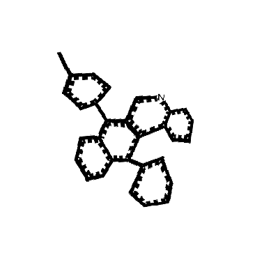 Cc1ccc(-c2c3ccccc3c(-c3ccccc3)c3c2cnc2ccccc23)cc1